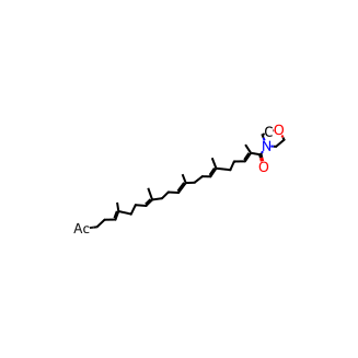 CC(=O)CC/C=C(\C)CC/C=C(\C)CC/C=C(\C)CC/C=C(\C)CC/C=C(\C)C(=O)N1CCOCC1